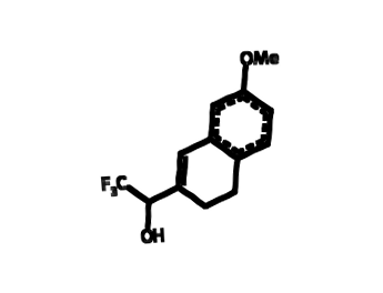 COc1ccc2c(c1)C=C(C(O)C(F)(F)F)CC2